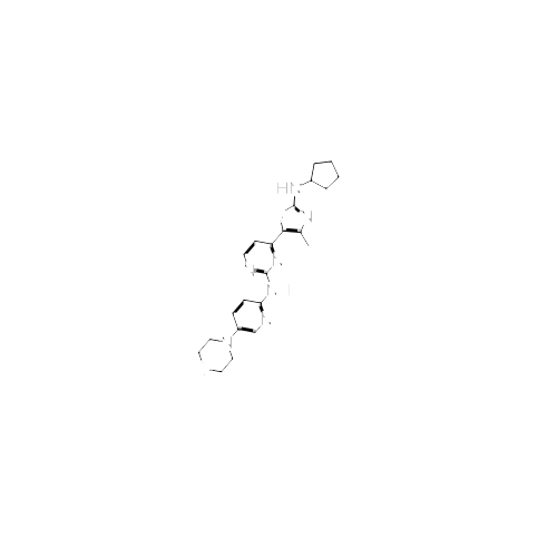 Cc1nc(NC2CCCC2)sc1-c1ccnc(Nc2ccc(N3CCOCC3)cn2)n1